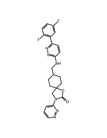 O=C1OC2(CCC(CNc3ccc(-c4cc(F)ccc4F)nn3)CC2)CN1c1cccnn1